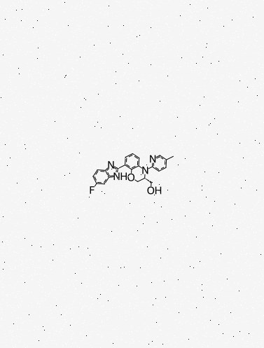 Cc1ccc(N2c3cccc(-c4nc5ccc(F)cc5[nH]4)c3OC[C@@H]2CO)nc1